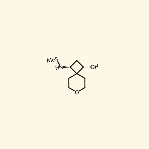 CSN[C@H]1C[C@H](O)C12CCOCC2